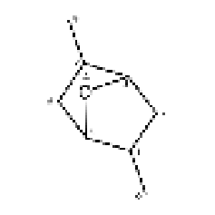 CC1CC2OC1CC2C